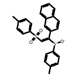 Cc1ccc([S+]([O-])C(=CS(=O)(=O)c2ccc(C)cc2)c2ccc3ccccc3c2)cc1